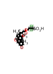 C[C@H](CCC(=O)OCCC(F)(F)C(F)(F)S(=O)(=O)O)[C@H]1CC[C@@H]2[C@@H]3C(=O)CC4CC(=O)CC[C@]4(C)[C@@H]3CC(=O)[C@@]21C